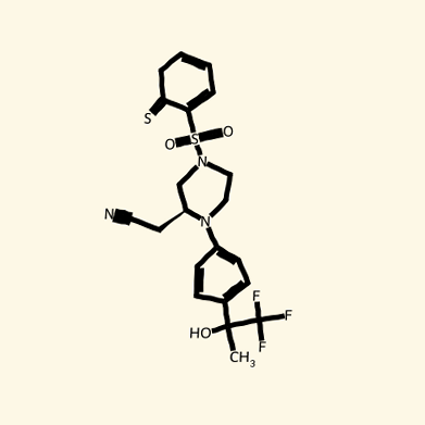 CC(O)(c1ccc(N2CCN(S(=O)(=O)C3=CC=CCC3=S)C[C@@H]2CC#N)cc1)C(F)(F)F